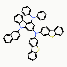 c1ccc(N(c2ccccc2)c2cc(N(c3ccc4c(c3)sc3ccccc34)c3ccc4c(c3)sc3ccccc34)cc3c2c2ccccc2n3-c2ccc3ccccc3c2)cc1